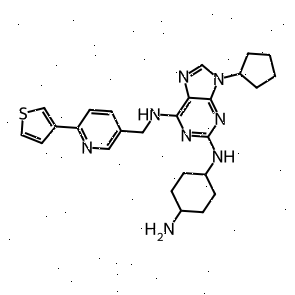 NC1CCC(Nc2nc(NCc3ccc(-c4ccsc4)nc3)c3ncn(C4CCCC4)c3n2)CC1